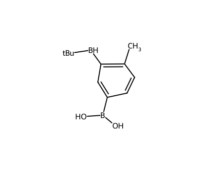 Cc1ccc(B(O)O)cc1BC(C)(C)C